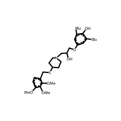 COc1ccc(CSC2CCN(CC(O)COc3cc(C(C)(C)C)c(O)c(C(C)(C)C)c3)CC2)c(OC)c1OC